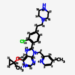 Cc1ccnc(Cn2c(-c3ccc(CCN4CCNCC4)cc3Cl)nc3c(OC4(C)CC4)ncnc32)c1